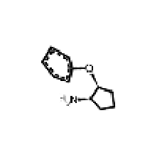 N[C@@H]1CCC[C@@H]1Oc1ccccc1